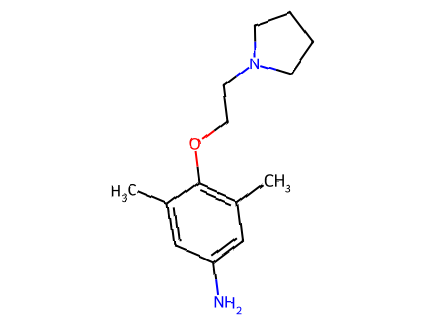 Cc1cc(N)cc(C)c1OCCN1CCCC1